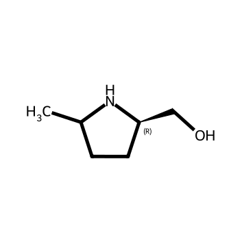 CC1CC[C@H](CO)N1